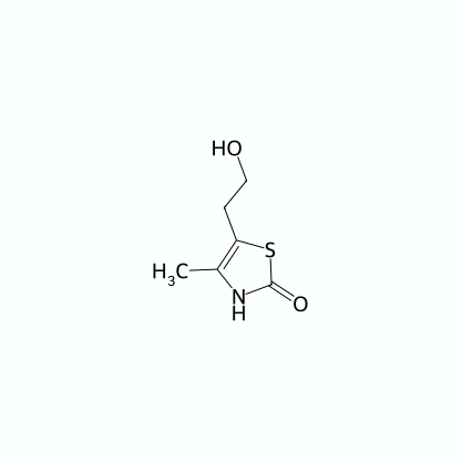 Cc1[nH]c(=O)sc1CCO